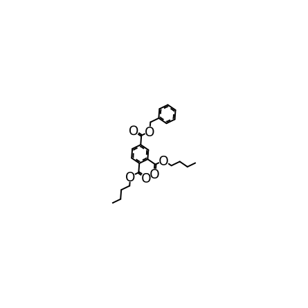 CCCCOC(=O)c1ccc(C(=O)OCc2ccccc2)cc1C(=O)OCCCC